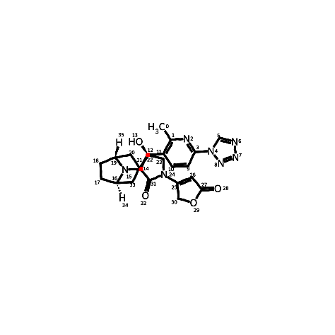 Cc1nc(-n2cnnn2)ccc1[C@H](O)CN1[C@@H]2CC[C@@H]1CC1(CCN(C3=CC(=O)OC3)C1=O)C2